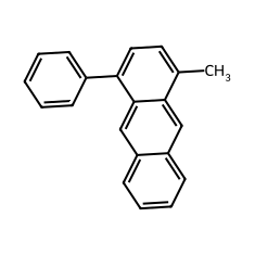 Cc1ccc(-c2ccccc2)c2cc3ccccc3cc12